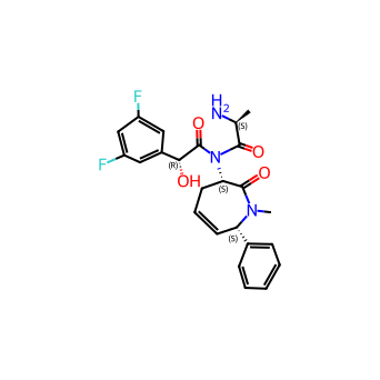 C[C@H](N)C(=O)N(C(=O)[C@H](O)c1cc(F)cc(F)c1)[C@H]1CC=C[C@@H](c2ccccc2)N(C)C1=O